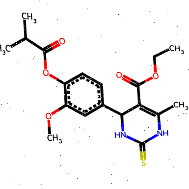 CCOC(=O)C1=C(C)NC(=S)NC1c1ccc(OC(=O)C(C)C)c(OC)c1